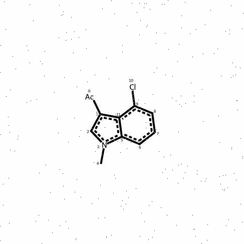 CC(=O)c1cn(C)c2cccc(Cl)c12